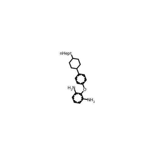 CCCCCCCC1CCC(c2ccc(Oc3c(N)cccc3N)cc2)CC1